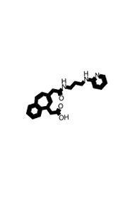 O=C(O)CC1C=C(CC(=O)NCCCNc2ccccn2)C=Cc2ccccc21